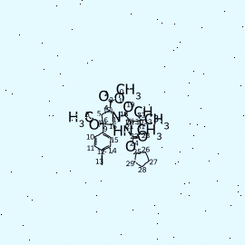 COC(=O)[C@@H]1C[C@@](OC)(c2ccc(I)cc2)CN1C(=O)[C@@H](NC(=O)OC1CCCC1)C(C)(C)C